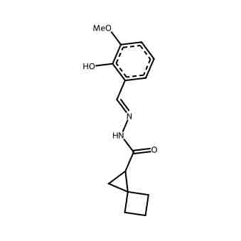 COc1cccc(/C=N/NC(=O)C2CC23CCC3)c1O